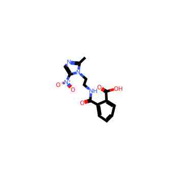 Cc1ncc([N+](=O)[O-])n1CCNC(=O)c1ccccc1C(=O)O